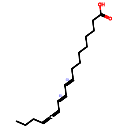 CCCC=C=C/C=C/C=C/CCCCCCCC(=O)O